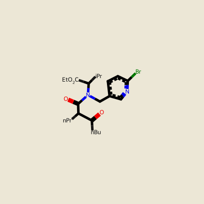 CCCCC(=O)C(CCC)C(=O)N(Cc1ccc(Br)nc1)C(C(=O)OCC)C(C)C